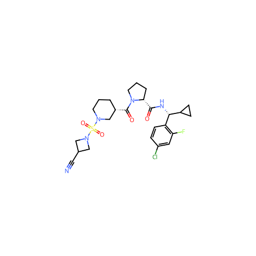 N#CC1CN(S(=O)(=O)N2CCC[C@H](C(=O)N3CCC[C@@H]3C(=O)N[C@@H](c3ccc(Cl)cc3F)C3CC3)C2)C1